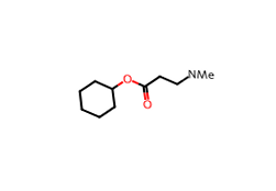 CNCCC(=O)OC1CCCCC1